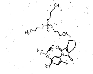 C#CC(C)Oc1cc(N2C(=O)C3=C(CCCC3)C2=O)c(F)cc1Cl.CCCCSP(=O)(SCCCC)SCCCC